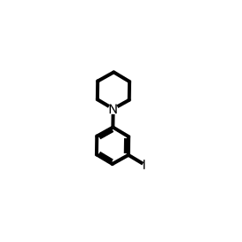 Ic1cccc(N2CCCCC2)c1